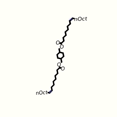 CCCCCCCC/C=C\CCCCCCCC(=O)OCC1CCC(COC(=O)CCCCCCC/C=C\CCCCCCCC)CC1